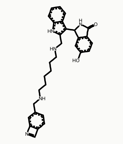 O=C1NC(c2c(CNCCCCCCNCc3ccc4c(c3)N=C4)[nH]c3ccccc23)c2cc(O)ccc21